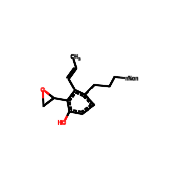 CC=Cc1c(CCCCCCCCCCCC)ccc(O)c1C1CO1